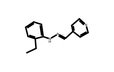 CCc1ccccc1N/N=C/c1ccncc1